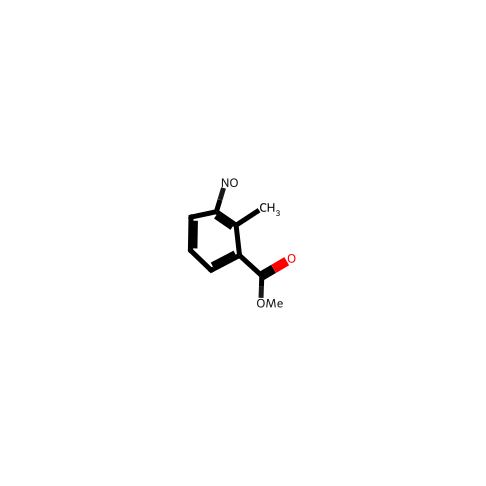 COC(=O)c1cccc(N=O)c1C